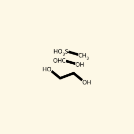 CS(=O)(=O)O.O=CO.OCCO